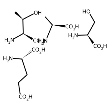 C[C@@H](O)[C@H](N)C(=O)O.C[C@H](N)C(=O)O.N[C@@H](CCC(=O)O)C(=O)O.N[C@@H](CO)C(=O)O